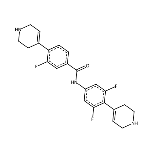 O=C(Nc1cc(F)c(C2=CCNCC2)c(F)c1)c1ccc(C2=CCNCC2)c(F)c1